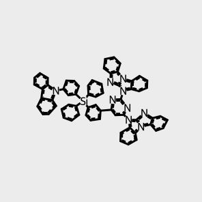 c1ccc([Si](c2ccccc2)(c2cccc(-c3cc(-n4c5ccccc5n5c6ccccc6nc45)nc(-n4c5ccccc5n5c6ccccc6nc45)n3)c2)c2cccc(-n3c4ccccc4c4ccccc43)c2)cc1